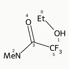 CCO.CNC(=O)C(F)(F)F